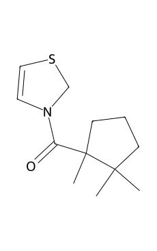 CC1(C)CCCC1(C)C(=O)N1C=CSC1